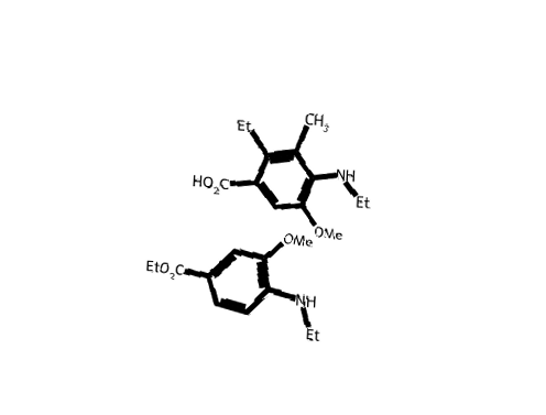 CCNc1c(OC)cc(C(=O)O)c(CC)c1C.CCNc1ccc(C(=O)OCC)cc1OC